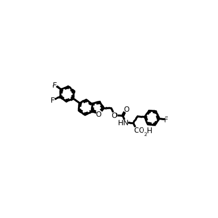 O=C(NC(Cc1ccc(F)cc1)C(=O)O)OCc1cc2cc(-c3ccc(F)c(F)c3)ccc2o1